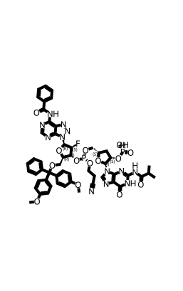 COc1ccc(C(OC[C@H]2O[C@@H](n3nnc4c(NC(=O)c5ccccc5)ncnc43)[C@@H](F)[C@@H]2OP(OCCC#N)OC[C@@H]2C[C@H](O[PH](=O)O)[C@H](n3cnc4c(=O)[nH]c(NC(=O)C(C)C)nc43)O2)(c2ccccc2)c2ccc(OC)cc2)cc1